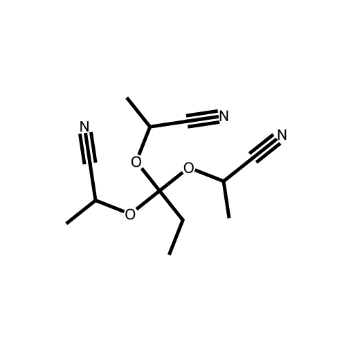 CCC(OC(C)C#N)(OC(C)C#N)OC(C)C#N